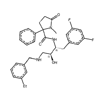 CCc1cccc(CNC[C@H](O)[C@@H](Cc2cc(F)cc(F)c2)NC(=O)C2(c3ccccc3)CCC(=O)N2C)c1